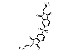 C=CCN1C(=O)c2ccc(S(=O)(=O)c3ccc4c(c3)C(=O)N(CC=C)C4=O)cc2C1=O